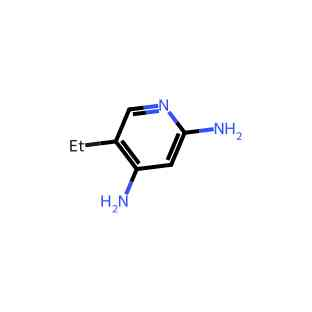 CCc1cnc(N)cc1N